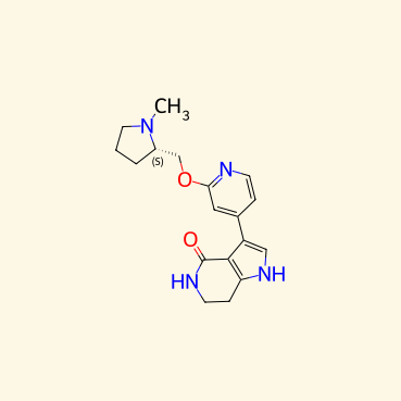 CN1CCC[C@H]1COc1cc(-c2c[nH]c3c2C(=O)NCC3)ccn1